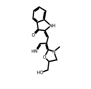 CN1CC(CO)O/C1=C(C=N)/C=C1/Nc2ccccc2C1=O